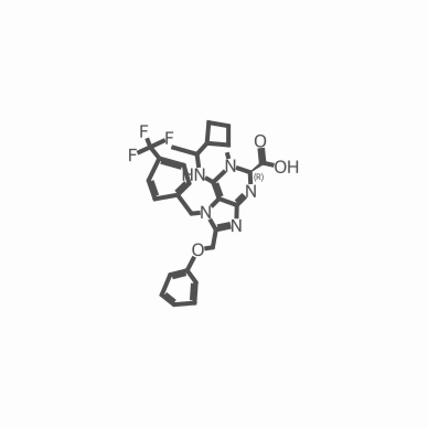 CC(NC1=c2c(nc(COc3ccccc3)n2Cc2ccc(C(F)(F)F)cc2)=N[C@H](C(=O)O)N1C)C1CCC1